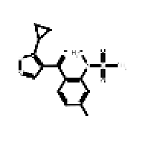 CN(c1cc(I)ccc1C(=O)c1cnoc1C1CC1)S(C)(=O)=O